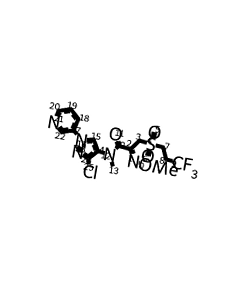 CON=C(CS(=O)(=O)CCC(F)(F)F)C(=O)N(C)c1cn(-c2cccnc2)nc1Cl